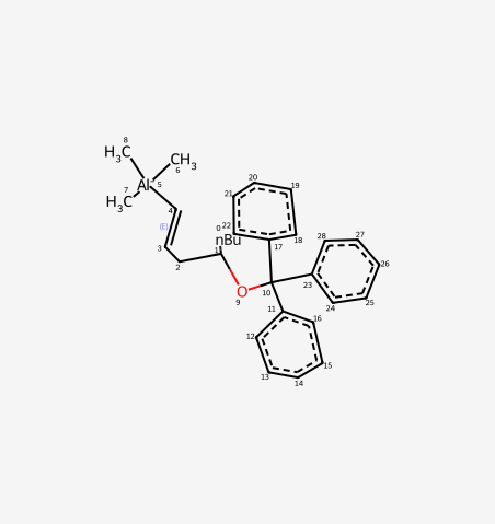 CCCCC(C/C=[CH]/[Al-]([CH3])([CH3])[CH3])OC(c1ccccc1)(c1ccccc1)c1ccccc1